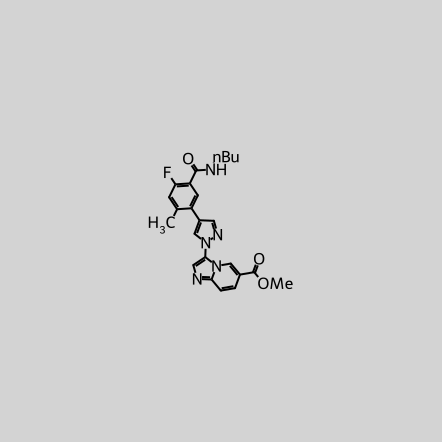 CCCCNC(=O)c1cc(-c2cnn(-c3cnc4ccc(C(=O)OC)cn34)c2)c(C)cc1F